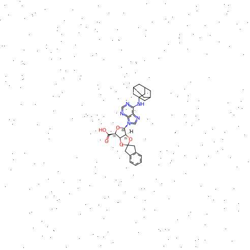 O=C(O)[C@H]1O[C@@H](n2cnc3c(NC45CC6CC(CC(C6)C4)C5)ncnc32)[C@H]2OC3(Cc4ccccc4C3)OC12